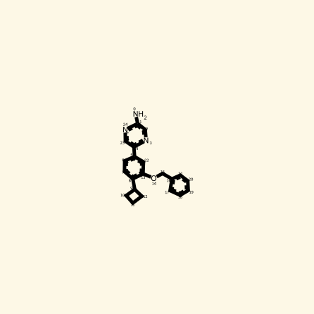 Nc1cnc(-c2ccc(C3CCC3)c(OCc3ccccc3)c2)cn1